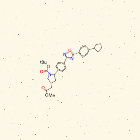 COC(=O)CC1CC(c2ccc(-c3noc(-c4ccc(C5CCCC5)cc4)n3)cc2)N(C(=O)OC(C)(C)C)C1